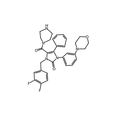 O=C(c1c(-c2ccccc2)n(-c2cccc(N3CCOCC3)c2)c(=O)n1Cc1ccc(F)c(F)c1)N1CCNCC1